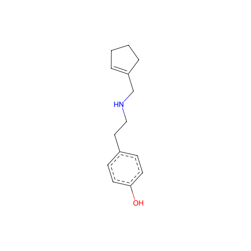 Oc1ccc(CCNCC2=CCCC2)cc1